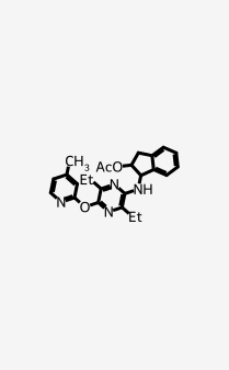 CCc1nc(Oc2cc(C)ccn2)c(CC)nc1NC1c2ccccc2CC1OC(C)=O